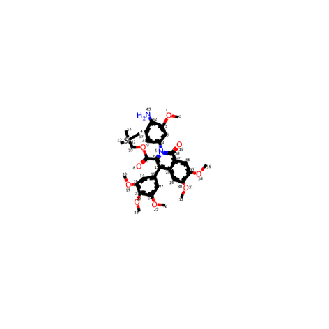 COc1cc(-n2c(C(=O)OC[Si](C)(C)C)c(-c3cc(OC)c(OC)c(OC)c3)c3cc(OC)c(OC)cc3c2=O)ccc1N